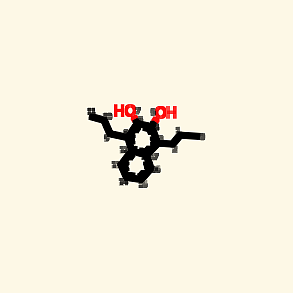 CCCc1c(O)c(O)c(CCC)c2ccccc12